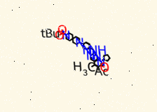 CC(=O)c1c(C)c2cnc(Nc3ccc(N4CCC5(CCN(C(=O)OC(C)(C)C)CC5)CC4)cn3)nc2n(C2CCCC2)c1=O